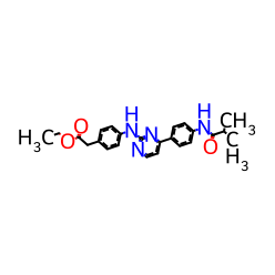 CCOC(=O)Cc1ccc(Nc2nccc(-c3ccc(NC(=O)C(C)C)cc3)n2)cc1